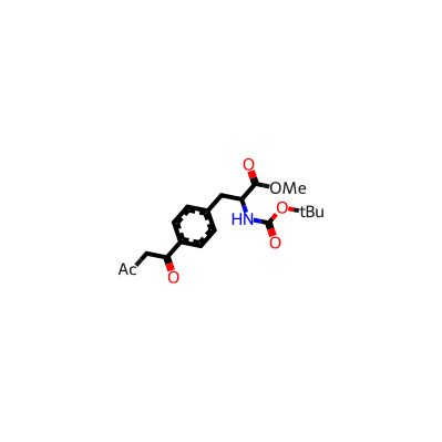 COC(=O)C(Cc1ccc(C(=O)CC(C)=O)cc1)NC(=O)OC(C)(C)C